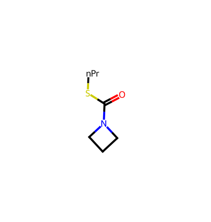 CCCSC(=O)N1CCC1